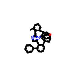 Cc1cccc2c3ccccc3n3c(-c4c(-c5ccccc5)cccc4-c4ccccc4)cnc3c12